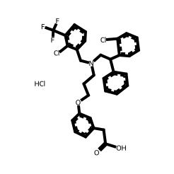 Cl.O=C(O)Cc1cccc(OCCCN(Cc2cccc(C(F)(F)F)c2Cl)CC(c2ccccc2)c2ccccc2Cl)c1